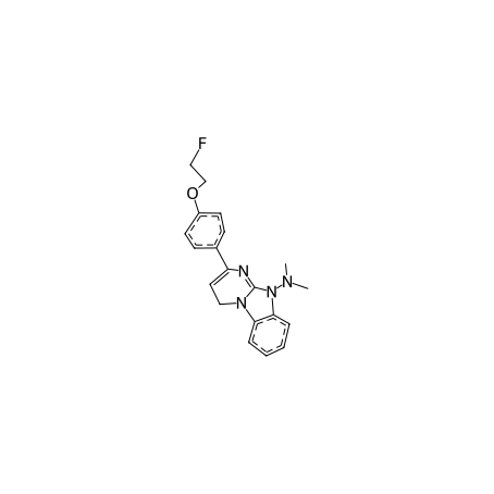 CN(C)N1C2=NC(c3ccc(OCCF)cc3)=CCN2c2ccccc21